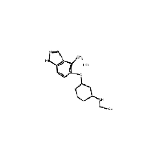 Cc1c(OC2CCCC(NCC(C)(C)C)C2)ccc2[nH]ncc12.Cl